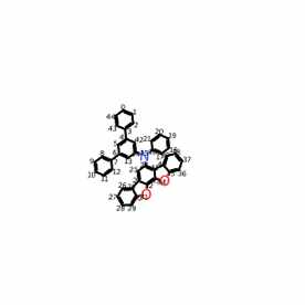 c1ccc(-c2cc(-c3ccccc3)cc(N(c3ccccc3)c3cc4c5ccccc5oc4c4oc5ccccc5c34)c2)cc1